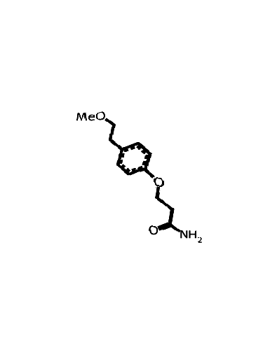 COCCc1ccc(OCCC(N)=O)cc1